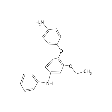 CCOc1cc(Nc2ccccc2)ccc1Oc1ccc(N)cc1